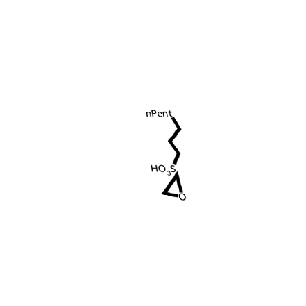 C1CO1.CCCCCCCCS(=O)(=O)O